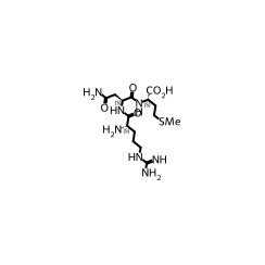 CSCC[C@H](NC(=O)[C@H](CC(N)=O)NC(=O)[C@@H](N)CCCNC(=N)N)C(=O)O